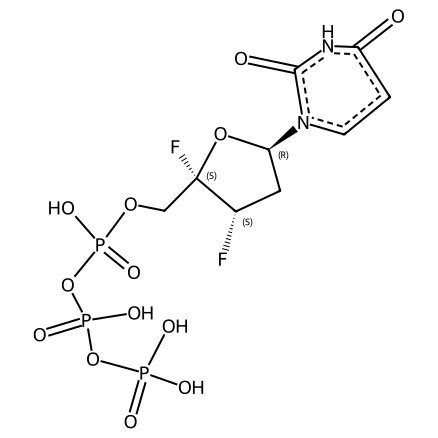 O=c1ccn([C@H]2C[C@H](F)[C@@](F)(COP(=O)(O)OP(=O)(O)OP(=O)(O)O)O2)c(=O)[nH]1